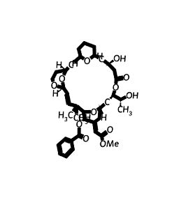 COC(=O)/C=C1\C[C@H]2C[C@H]([C@@H](C)O)OC(=O)C[C@H](O)C[C@@H]3CCC[C@H](C[C@@H]4CCO[C@H](/C=C/C(C)(C)[C@](O)(O2)[C@H]1OC(=O)c1ccccc1)O4)O3